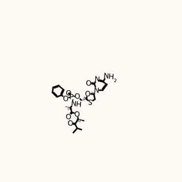 CC(C)C(=O)[C@H](C)OC(=O)[C@H](C)NP(=O)(OC[C@@H]1O[C@H](n2ccc(N)nc2=O)CS1)Oc1ccccc1